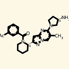 CC(=O)c1cccc(C(=O)N2CCCC[C@H]2c2cc3nc(N4CC[C@H](N)C4)c(C)cn3n2)c1